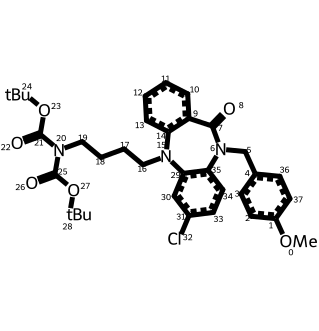 COc1ccc(CN2C(=O)c3ccccc3N(CCCCN(C(=O)OC(C)(C)C)C(=O)OC(C)(C)C)c3cc(Cl)ccc32)cc1